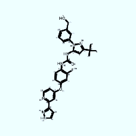 CC(C)(C)c1cc(NC(=O)Nc2ccc(Oc3ccnc(-c4cc[nH]n4)c3)cc2F)n(-c2cccc(CO)c2)n1